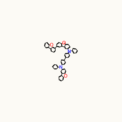 c1ccc(N(c2ccc(-c3ccc(N(c4ccccc4)c4ccc5oc6ccc(-c7cccc8c7oc7ccccc78)cc6c5c4)cc3)cc2)c2ccc3oc4ccccc4c3c2)cc1